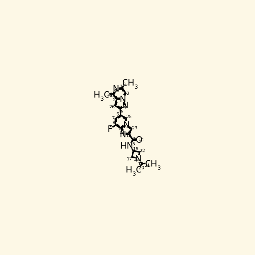 Cc1cn2nc(-c3cc(F)c4nc(C(=O)NC5CN(C(C)C)C5)cn4c3)cc2c(C)n1